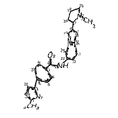 Cc1nc(-c2ccc(C(=O)Nc3ccc4nc(C5CCCN5C)cn4c3)cc2)cs1